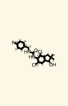 CC1(C)Cc2c(cc(Cl)c(NC(=O)NCc3ccc(F)cc3)c2Cl)C1O